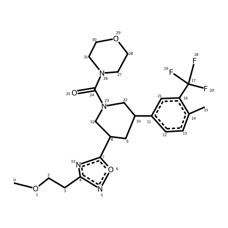 COCCc1noc(C2CC(c3ccc(C)c(C(F)(F)F)c3)CN(C(=O)N3CCOCC3)C2)n1